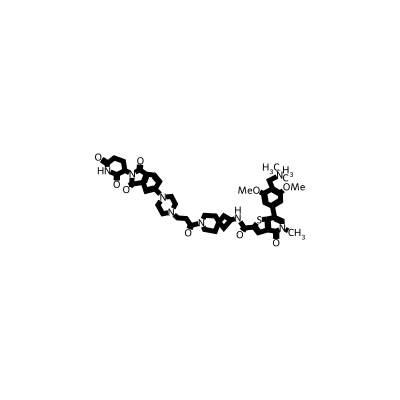 COc1cc(-c2cn(C)c(=O)c3cc(C(=O)NC4CC5(CCN(C(=O)CCN6CCN(c7ccc8c(c7)C(=O)N(C7CCC(=O)NC7=O)C8=O)CC6)CC5)C4)sc23)cc(OC)c1CN(C)C